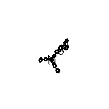 c1ccc(-c2ccc(-c3nc(-c4ccc(-c5ccccc5)cc4)nc(-c4ccc(-c5ccc6c(c5)oc5c6ccc6c5c5ccccc5n6-c5ccccc5)cc4)n3)cc2)cc1